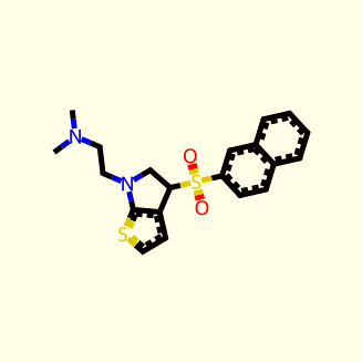 CN(C)CCN1CC(S(=O)(=O)c2ccc3ccccc3c2)c2ccsc21